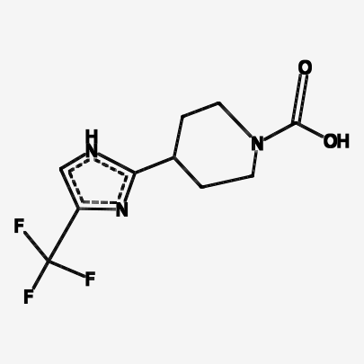 O=C(O)N1CCC(c2nc(C(F)(F)F)c[nH]2)CC1